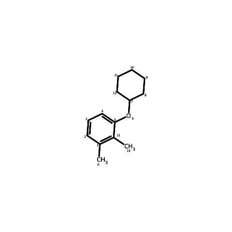 Cc1cccc(OC2CCCCC2)c1C